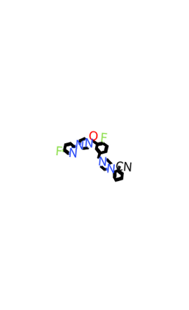 N#Cc1ccccc1N1CCN(Cc2ccc(F)c(C(=O)N3CCN(c4ccc(F)cn4)CC3)c2)CC1